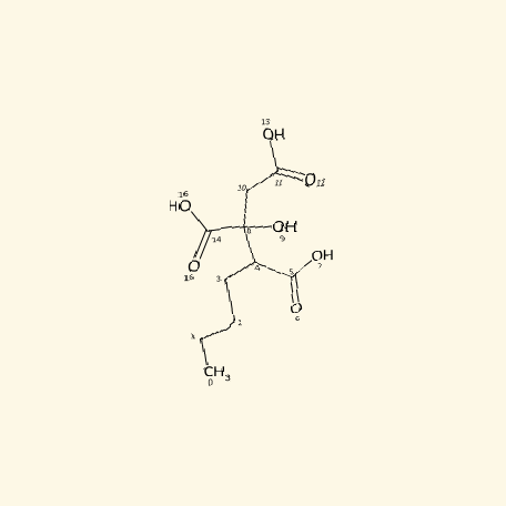 CCCCC(C(=O)O)C(O)(CC(=O)O)C(=O)O